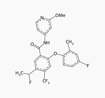 COc1cc(NC(=O)c2cc(C(C)F)c(C(F)(F)F)cc2Oc2ccc(F)cc2C)ccn1